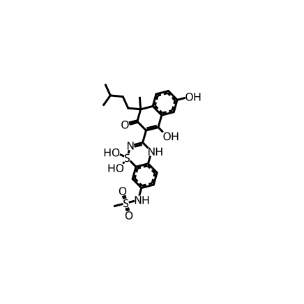 CC(C)CCC1(C)C(=O)C(C2=NS(O)(O)c3cc(NS(C)(=O)=O)ccc3N2)=C(O)c2cc(O)ccc21